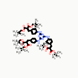 C[Si](C)(C)COC(=O)C(=Cc1ccc(Nc2nc(Nc3ccc(C=C(C(=O)OC[Si](C)(C)C)C(=O)OC[Si](C)(C)C)cc3)nc(Nc3ccc(C=C(C(=O)O[Si](C)(C)C)C(=O)O[Si](C)(C)C)cc3)n2)cc1)C(=O)OC[Si](C)(C)C